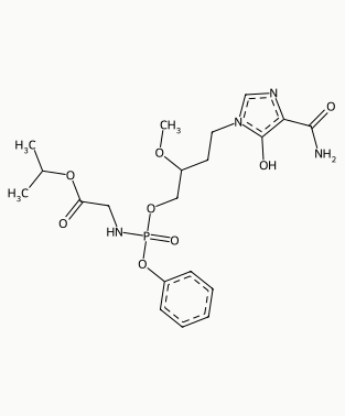 COC(CCn1cnc(C(N)=O)c1O)COP(=O)(NCC(=O)OC(C)C)Oc1ccccc1